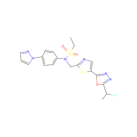 CCS(=O)(=O)N(Cc1ncc(-c2nnc(C(C)F)o2)s1)c1ccc(-n2cccn2)cc1